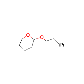 CC(C)CCOC1CCCCO1